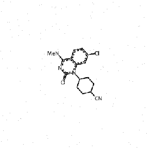 CNc1nc(=O)n(C2CCC(C#N)CC2)c2cc(Cl)ccc12